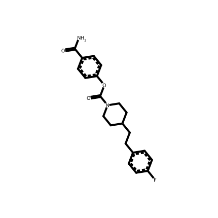 NC(=O)c1ccc(OC(=O)N2CCC(CCc3ccc(F)cc3)CC2)cc1